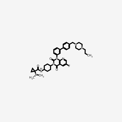 CCCN1CCN(Cc2ccc(-c3cccc(-n4c(=O)n(C5CCC(NC(=O)C6(N(C)C)CC6)CC5)c(=O)c5cc(F)cnc54)c3)cc2)CC1